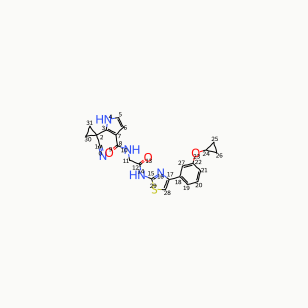 N#CC1(c2[nH]ccc2C(=O)NCC(=O)Nc2nc(-c3cccc(OC4CC4)c3)cs2)CC1